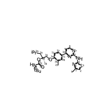 Cc1csc(Nc2nccc(-c3ccc(OC[C@](C)(CC(C)C)OC(=O)NC(C)(C)C)c(C)c3)n2)n1